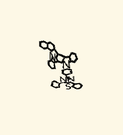 c1ccc(-c2nc(-c3ccc(-n4c5ccccc5c5cc6c7ccc8ccccc8c7n7c8ccccc8c(c54)c67)cc3)nc3c2sc2ccccc23)cc1